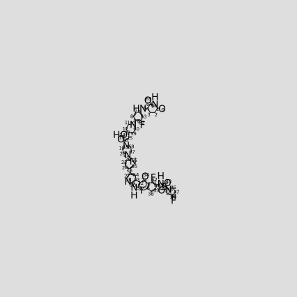 O=C1CCC(Nc2ccc(N3CCC(O)(CC(=O)N4CCN(c5ccc(-c6cnc7[nH]cc(C(=O)c8c(F)ccc(NS(=O)(=O)N9CC[C@@H](F)C9)c8F)c7c6)cn5)CC4)CC3)c(F)c2)C(=O)N1